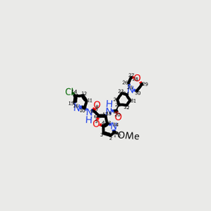 COc1ccc2oc(C(=O)Nc3ccc(Cl)cn3)c(NC(=O)[C@H]3CC[C@H](N4CCOCC4)CC3)c2n1